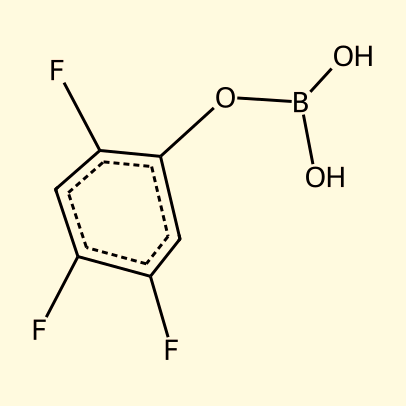 OB(O)Oc1cc(F)c(F)cc1F